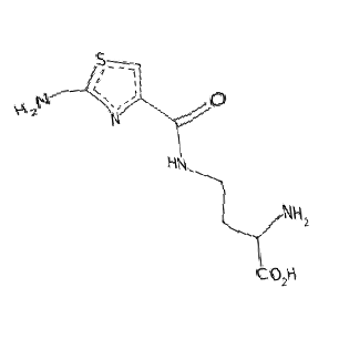 Nc1nc(C(=O)NCCC(N)C(=O)O)cs1